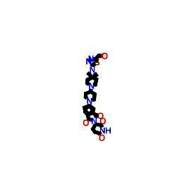 O=Cc1nnc(N2CC3(CCN(C4CCN(c5ccc6c(c5)C(=O)N(C5CCC(=O)NC5=O)C6=O)CC4)CC3)C2)s1